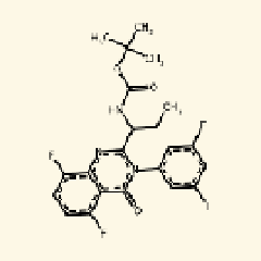 CCC(NC(=O)OC(C)(C)C)c1nc2c(F)ccc(F)c2c(=O)n1-c1cc(F)cc(F)c1